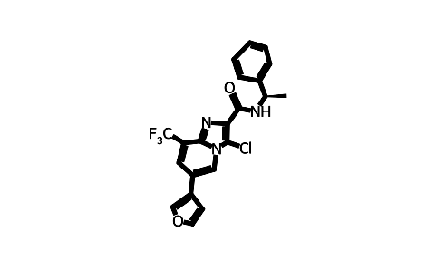 C[C@@H](NC(=O)c1nc2c(C(F)(F)F)cc(-c3ccoc3)cn2c1Cl)c1ccccc1